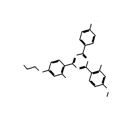 CCCOc1ccc(-c2nc(-c3ccc(OC)cc3)nc(-c3ccc(OCCO)cc3O)n2)c(O)c1